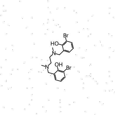 CN(CCN(C)Cc1cccc(Br)c1O)Cc1cccc(Br)c1O